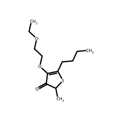 CCCCC1=C(OCCOCC)C(=O)C(C)S1